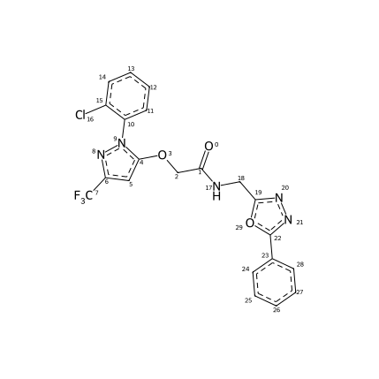 O=C(COc1cc(C(F)(F)F)nn1-c1ccccc1Cl)NCc1nnc(-c2ccccc2)o1